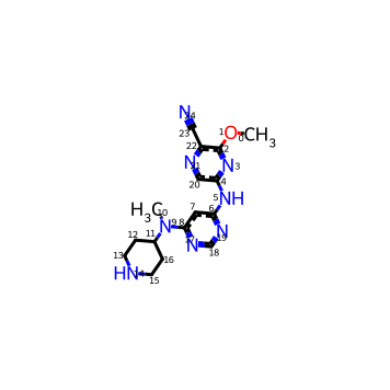 COc1nc(Nc2cc(N(C)C3CCNCC3)ncn2)cnc1C#N